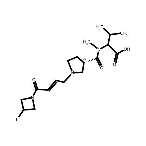 CC(C)C(C(=O)O)N(C)C(=O)[C@H]1CCN(C/C=C/C(=O)N2CC(F)C2)C1